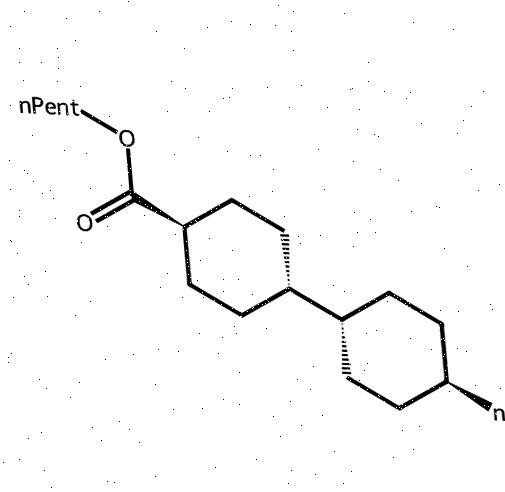 CCCCCOC(=O)[C@H]1CC[C@H]([C@H]2CC[C@H](CCC)CC2)CC1